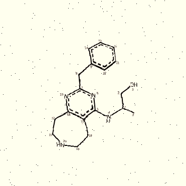 CC(CO)Nc1nc(Cc2ccccc2)nc2c1CCNCC2